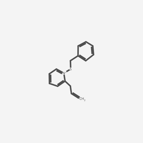 C=CCc1cccc[n+]1SCc1ccccc1